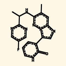 Cc1cc2ncc(-c3ccc[nH]c3=O)n2nc1NC(C)c1ncc(F)cn1